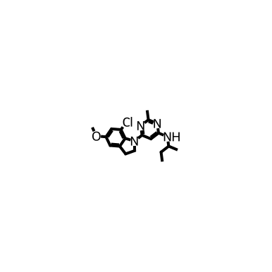 CCC(C)Nc1cc(N2CCc3cc(OC)cc(Cl)c32)nc(C)n1